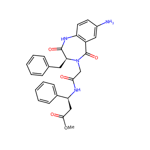 COC(=O)C[C@H](NC(=O)CN1C(=O)c2cc(N)ccc2NC(=O)[C@@H]1Cc1ccccc1)c1ccccc1